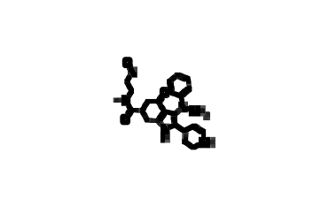 CN(CCN=O)C(=O)C1CC(=O)c2c([nH]c(C3=CCNC=C3)c2N(N)c2ccccc2)C1